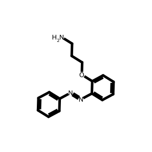 NCCCOc1ccccc1N=Nc1ccccc1